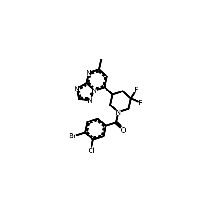 Cc1cc(C2CN(C(=O)c3ccc(Br)c(Cl)c3)CC(F)(F)C2)n2ncnc2n1